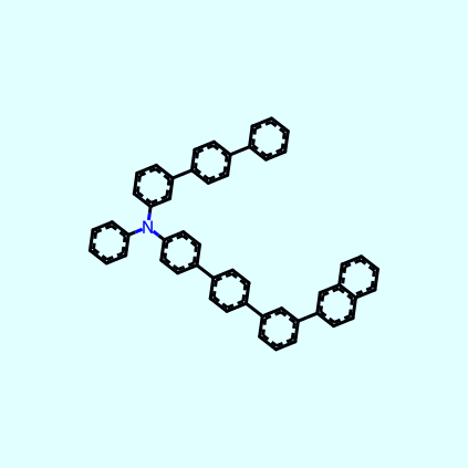 c1ccc(-c2ccc(-c3cccc(N(c4ccccc4)c4ccc(-c5ccc(-c6cccc(-c7ccc8ccccc8c7)c6)cc5)cc4)c3)cc2)cc1